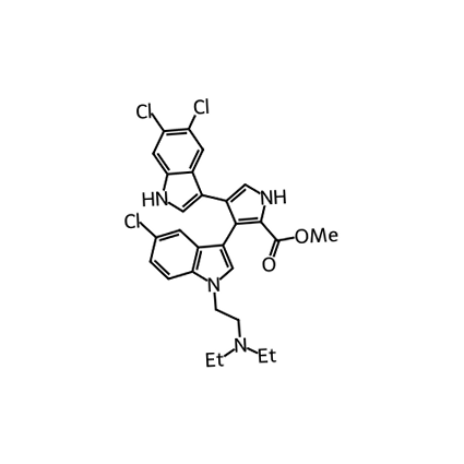 CCN(CC)CCn1cc(-c2c(-c3c[nH]c4cc(Cl)c(Cl)cc34)c[nH]c2C(=O)OC)c2cc(Cl)ccc21